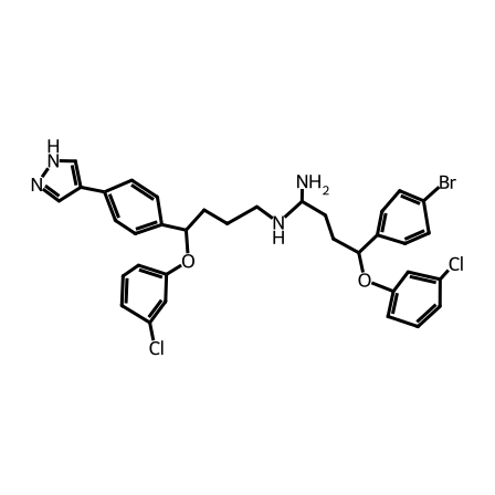 NC(CCC(Oc1cccc(Cl)c1)c1ccc(Br)cc1)NCCCC(Oc1cccc(Cl)c1)c1ccc(-c2cn[nH]c2)cc1